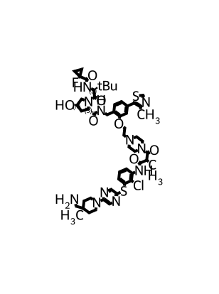 Cc1ncsc1-c1ccc(CNC(=O)[C@@H]2C[C@@H](O)CN2C(=O)[C@@H](NC(=O)C2(F)CC2)C(C)(C)C)c(OCCN2CCN(C(=O)C(C)C(=O)Nc3cccc(Sc4cnc(N5CCC(C)(CN)CC5)cn4)c3Cl)CC2)c1